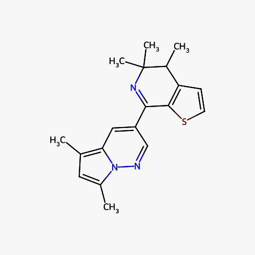 Cc1cc(C)n2ncc(C3=NC(C)(C)C(C)c4ccsc43)cc12